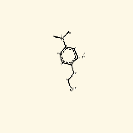 CN(C)c1ccc(C[CH2][Zn+])cc1.[I-]